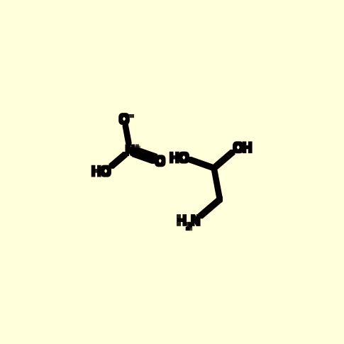 NCC(O)O.O=[N+]([O-])O